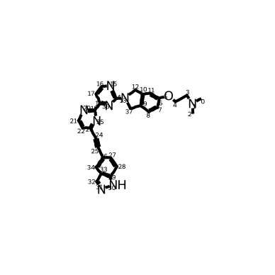 CN(C)CCOc1ccc2c(c1)CN(c1nccc(-c3nccc(C#Cc4ccc5[nH]ncc5c4)n3)n1)C2